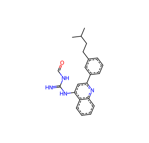 CC(C)CCc1cccc(-c2cc(NC(=N)NC=O)c3ccccc3n2)c1